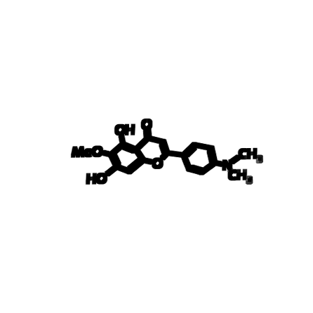 COc1c(O)cc2oc(-c3ccc(N(C)C)cc3)cc(=O)c2c1O